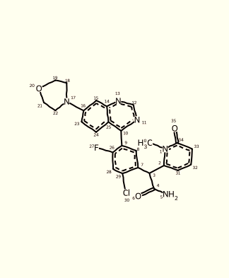 Cn1c(C(C(N)=O)c2cc(-c3ncnc4cc(N5CCOCC5)ccc34)c(F)cc2Cl)cccc1=O